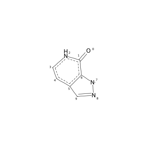 O=c1[nH]ccc2c1[N]N=C2